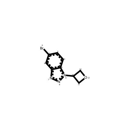 Brc1ccc2c(c1)nnn2C1COC1